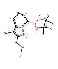 Cc1c(CCI)[nH]c2c(B3OC(C)(C)C(C)(C)O3)cccc12